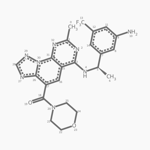 Cc1nc(N[C@H](C)c2cc(N)cc(C(F)(F)F)c2)c2cc(C(=O)N3CCOCC3)c3ncnn3c2n1